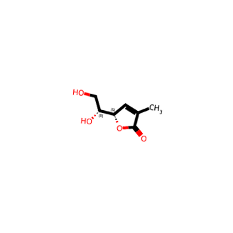 CC1=C[C@@H]([C@H](O)CO)OC1=O